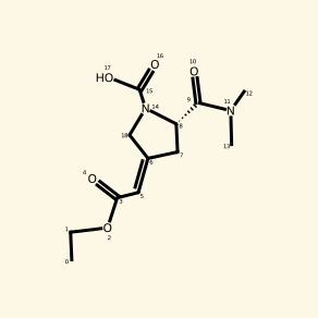 CCOC(=O)C=C1C[C@@H](C(=O)N(C)C)N(C(=O)O)C1